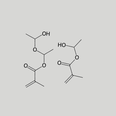 C=C(C)C(=O)OC(C)O.C=C(C)C(=O)OC(C)OC(C)O